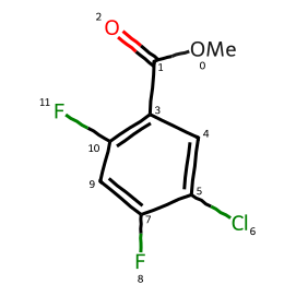 COC(=O)c1cc(Cl)c(F)cc1F